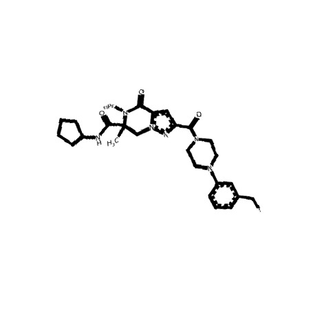 CCCN1C(=O)c2cc(C(=O)N3CCN(c4cccc(CI)c4)CC3)nn2CC1(C)C(=O)NC1CCCC1